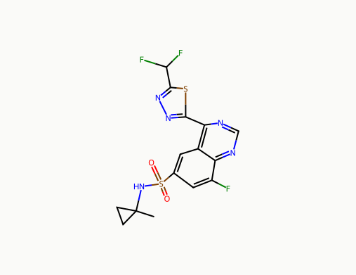 CC1(NS(=O)(=O)c2cc(F)c3ncnc(-c4nnc(C(F)F)s4)c3c2)CC1